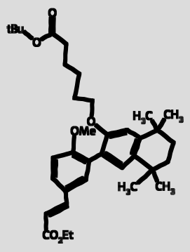 CCOC(=O)C=Cc1ccc(OC)c(-c2cc3c(cc2OCCCCCC(=O)OC(C)(C)C)C(C)(C)CCC3(C)C)c1